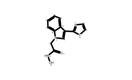 O=C(Cn1cc(-c2nccs2)c2ccccc21)NO